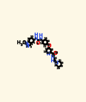 Cn1ncc2cc(NC(=O)Nc3ccc(Oc4ccnc(C(=O)NCCN5CCCCC5)c4)cc3)ccc21